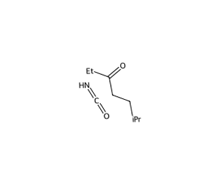 CCC(=O)CCC(C)C.N=C=O